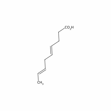 C/C=C/CC=CCCC(=O)O